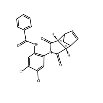 O=C(Nc1cc(Cl)c(Cl)cc1N1C(=O)[C@@H]2C3C=CC(C3)[C@@H]2C1=O)c1ccccc1